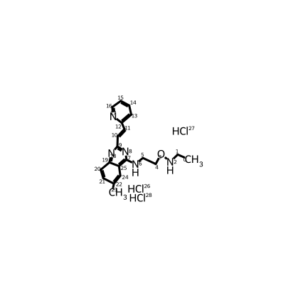 CCNOCCNc1nc(/C=C/c2ccccn2)nc2ccc(C)cc12.Cl.Cl.Cl